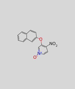 O=[N+]([O-])c1cc[n+]([O-])cc1Oc1ccc2ccccc2c1